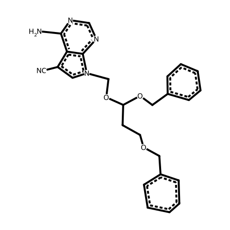 N#Cc1cn(COC(CCOCc2ccccc2)OCc2ccccc2)c2ncnc(N)c12